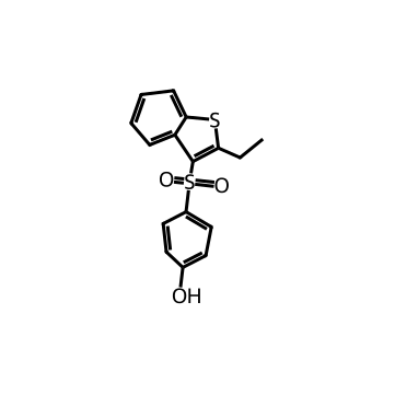 CCc1sc2ccccc2c1S(=O)(=O)c1ccc(O)cc1